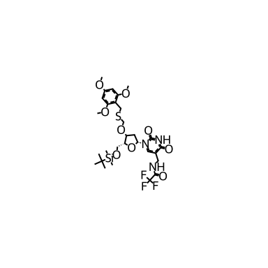 COc1cc(OC)c(CSCOC2C[C@H](n3cc(CNC(=O)C(F)(F)F)c(=O)[nH]c3=O)O[C@@H]2CO[Si](C)(C)C(C)(C)C)c(OC)c1